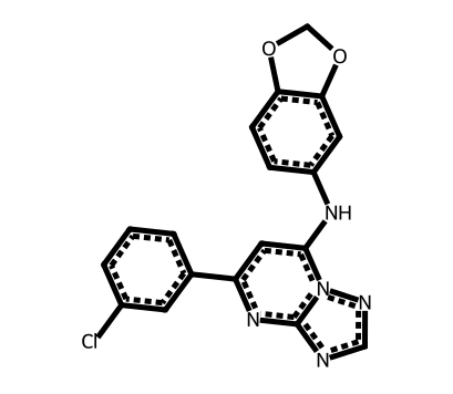 Clc1cccc(-c2cc(Nc3ccc4c(c3)OCO4)n3ncnc3n2)c1